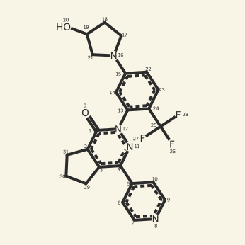 O=c1c2c(c(-c3ccncc3)nn1-c1cc(N3CCC(O)C3)ccc1C(F)(F)F)CCC2